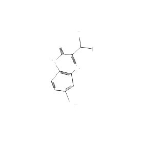 Cc1ccc2[nH]c(=O)c(C(F)F)nc2c1